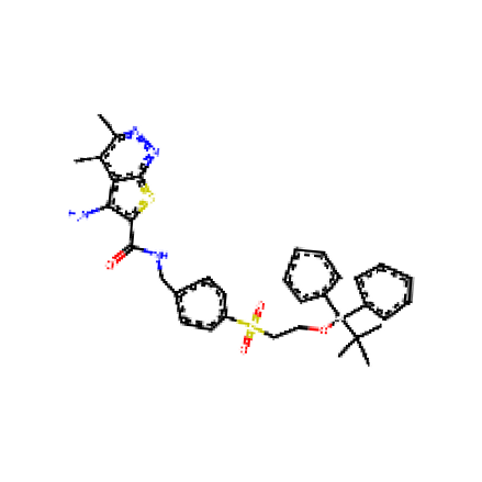 Cc1nnc2sc(C(=O)NCc3ccc(S(=O)(=O)CCO[Si](c4ccccc4)(c4ccccc4)C(C)(C)C)cc3)c(N)c2c1C